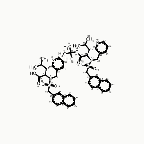 CC(C)C[C@H](C(=O)O)N(Cc1cccnc1)S(=O)(=O)Cc1ccc2ccccc2c1.CC(C)C[C@H](C(=O)OC(C)(C)C)N(Cc1cccnc1)S(=O)(=O)Cc1ccc2ccccc2c1